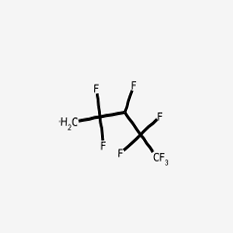 [CH2]C(F)(F)C(F)C(F)(F)C(F)(F)F